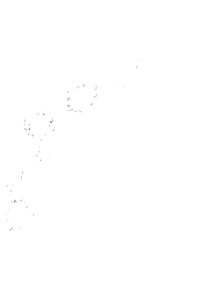 Cc1cc(OCC(C)O)ccc1-c1cnnc(NCc2nc3ccccc3s2)n1